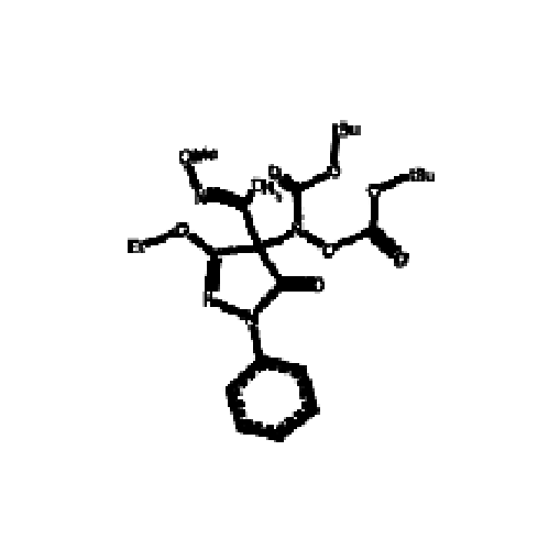 CCOC1=NN(c2ccccc2)C(=O)C1(C(C)=NOC)N(OC(=O)OC(C)(C)C)C(=O)OC(C)(C)C